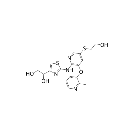 Cc1ncccc1Oc1cc(SCCO)cnc1Nc1nc(C(O)CO)cs1